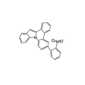 O=[N+]([O-])c1ccccc1-c1ccc2c(c1)c1ccccc1c1cc3ccccc3n21